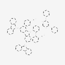 FC(F)(F)c1ccccc1-c1cc(-c2nc(-c3ccccc3)cc(-c3ccccc3)n2)cc(-c2ccccc2C(F)(F)F)c1-n1c2ccc(-n3c4ccccc4c4ccccc43)cc2c2cc(-n3c4ccccc4c4ccccc43)ccc21